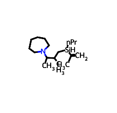 C=C(C)[SiH](CCC)CC(C)C(C)N1CCCCCC1